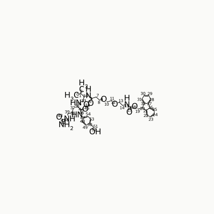 CC(C)[C@H](NC(=O)CCOCCOCCNC(=O)OCC1c2ccccc2-c2ccccc21)C(=O)N[C@@H](CCCNC(N)=O)C(=O)Nc1ccc(CO)cc1